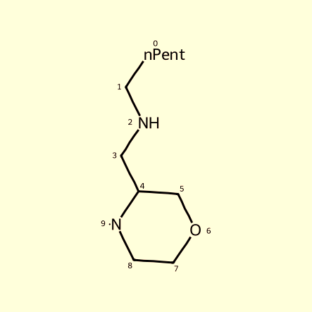 CCCCCCNCC1COCC[N]1